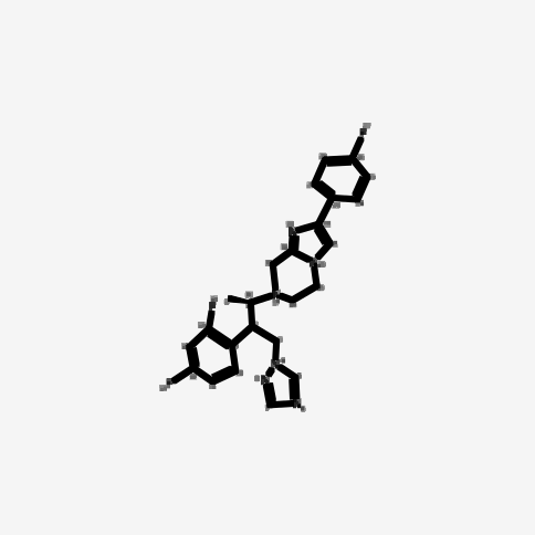 C[C@H](C(Cn1cncn1)c1ccc(F)cc1F)N1CCn2cc(-c3ccc(F)cc3)nc2C1